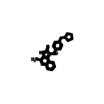 Nc1nc2ccccc2c2c1[nH]c(=O)n2Nc1ccc(CN2CCCC2)cc1